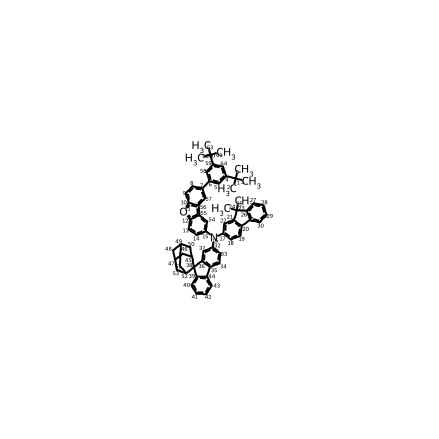 CC(C)(C)c1cc(-c2ccc3oc4ccc(N(c5ccc6c(c5)C(C)(C)c5ccccc5-6)c5ccc6c(c5)C5(c7ccccc7-6)C6CC7CC(C6)CC5C7)cc4c3c2)cc(C(C)(C)C)c1